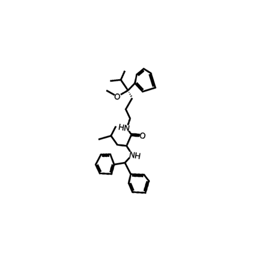 CO[C@](CCCNC(=O)C(CC(C)C)NC(c1ccccc1)c1ccccc1)(c1ccccc1)C(C)C